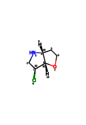 Cl[C@H]1CN[C@@H]2CCO[C@H]12